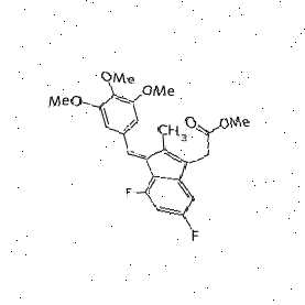 COC(=O)CC1=C(C)C(=Cc2cc(OC)c(OC)c(OC)c2)c2c(F)cc(F)cc21